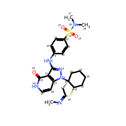 C/N=C\C[C@]1(n2nc(Nc3ccc(S(=O)(=O)N(C)C)cc3)c3c(=O)[nH]ccc32)CCCC[C@H]1F